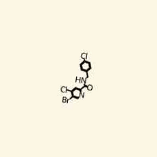 O=C(NCc1ccc(Cl)cc1)c1cc(Cl)c(Br)cn1